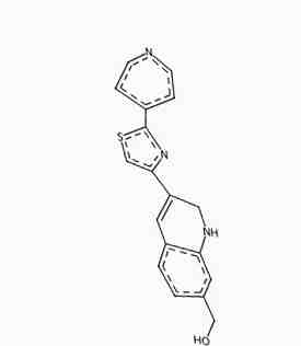 OCc1ccc2c(c1)NCC(c1csc(-c3ccncc3)n1)=C2